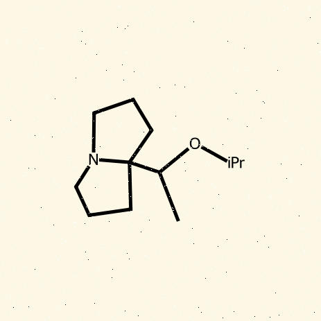 CC(C)OC(C)C12CCCN1CCC2